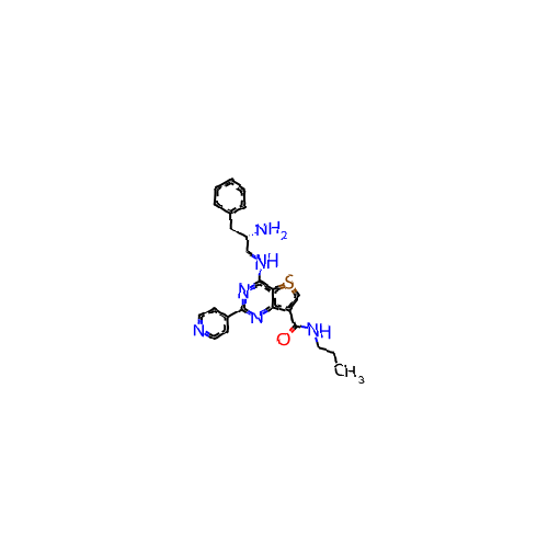 CCCNC(=O)c1csc2c(NC[C@@H](N)Cc3ccccc3)nc(-c3ccncc3)nc12